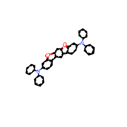 c1ccc(N(c2ccccc2)c2ccc3c(c2)oc2cc4oc5cc(N(c6ccccc6)c6ccccc6)ccc5c4cc23)cc1